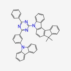 CC1(C)c2ccccc2-c2c1ccc1c2c2ccccc2n1-c1nc(-c2ccccc2)nc(-c2cccc(-n3c4ccccc4c4ccccc43)c2)n1